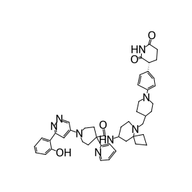 O=C1CC[C@H](c2ccc(N3CCC(CN4CCC(NC(=O)C5(c6ccccn6)CCN(c6cnnc(-c7ccccc7O)c6)CC5)CC45CCC5)CC3)cc2)C(=O)N1